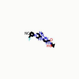 N#Cc1ccc(N2CCc3c(ncnc3Nc3ccc(C(=O)NCC4(O)CC4)nn3)C2)cc1CF